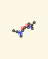 c1ccc(-c2ccc(-c3nc(-c4ccccc4)nc(-c4ccc5c(c4)oc4ccc(-c6ccc(-n7c8ccccc8c8cc(-c9ccccc9)ccc87)c7c6oc6ccccc67)cc45)n3)cc2)cc1